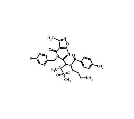 Cc1ccc(C(=O)N(CCCN)C(c2nc3onc(C)c3c(=O)n2Cc2ccc(F)cc2)[C@@H](C)S(C)(=O)=O)cc1